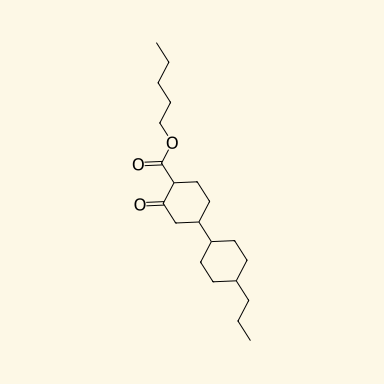 CCCCCOC(=O)C1CCC(C2CCC(CCC)CC2)CC1=O